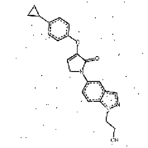 O=C1C(Oc2ccc(C3CC3)cc2)=CCN1c1ccc2c(cnn2CCO)c1